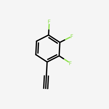 [C]#Cc1ccc(F)c(F)c1F